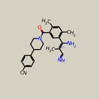 C/C(C=N)=C(/N)c1cc(C(=O)N2CCC(c3ccc(C#N)cc3)CC2)c(C)cc1C